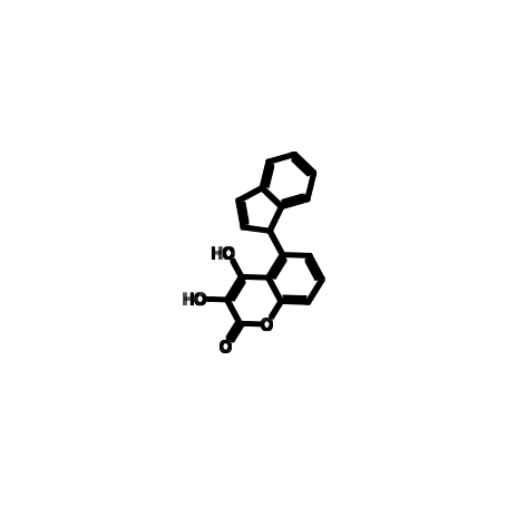 O=c1oc2cccc(C3C=Cc4ccccc43)c2c(O)c1O